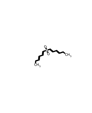 CCC=CC=CS(=O)(=O)C=CC=CCC